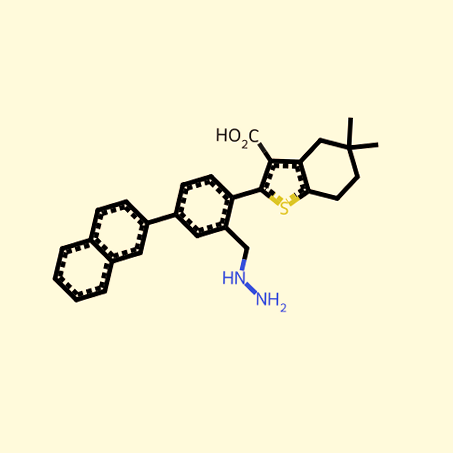 CC1(C)CCc2sc(-c3ccc(-c4ccc5ccccc5c4)cc3CNN)c(C(=O)O)c2C1